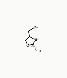 CC(C)CC1CO[C@@H](C(F)(F)F)N1